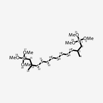 CO[Si](CC(C)SSSSSSSSC(C)C[Si](OC)(OC)OC)(OC)OC